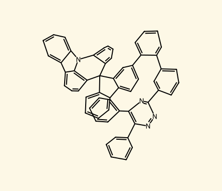 c1ccc(-c2nnc(-c3cccc(-c4ccccc4-c4ccc5c(c4)C4(c6ccccc6-5)c5ccccc5-n5c6ccccc6c6cccc4c65)c3)nc2-c2ccccc2)cc1